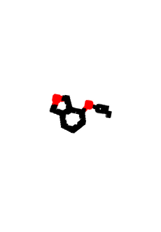 COc1cccc2cocc12